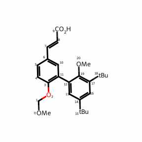 COCOc1ccc(/C=C/C(=O)O)cc1-c1cc(C(C)(C)C)cc(C(C)(C)C)c1OC